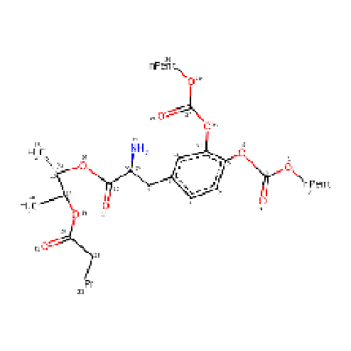 CCCCCOC(=O)Oc1ccc(C[C@H](N)C(=O)O[C@@H](C)C(C)OC(=O)CC(C)C)cc1OC(=O)OCCCCC